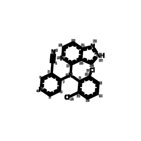 N#Cc1cnccc1N(c1c(Cl)cccc1Cl)c1nccc2n[nH]cc12